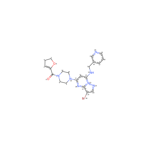 O=C(C1=CCCO1)N1CCN(c2cc(NCc3cccnc3)n3ncc(Br)c3n2)CC1